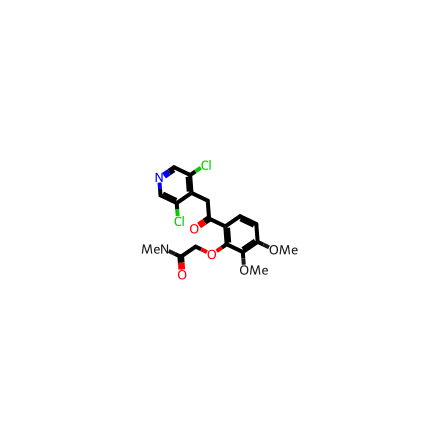 CNC(=O)COc1c(C(=O)Cc2c(Cl)cncc2Cl)ccc(OC)c1OC